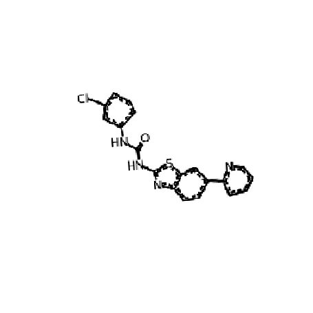 O=C(Nc1cccc(Cl)c1)Nc1nc2ccc(-c3ccccn3)cc2s1